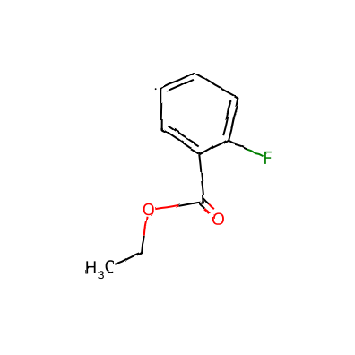 CCOC(=O)c1c[c]ccc1F